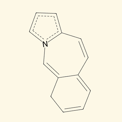 C1=CCC2=Cn3cccc3C=CC2=C1